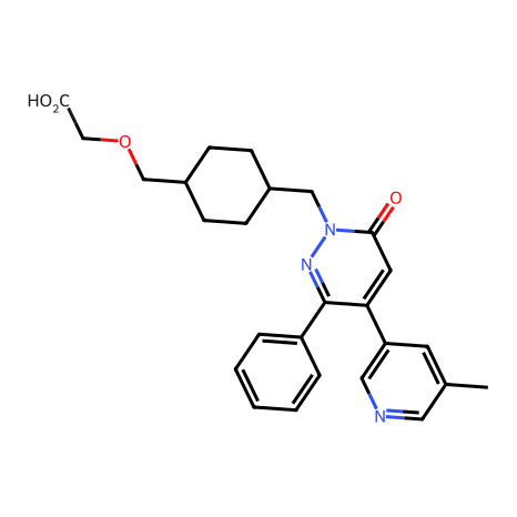 Cc1cncc(-c2cc(=O)n(CC3CCC(COCC(=O)O)CC3)nc2-c2ccccc2)c1